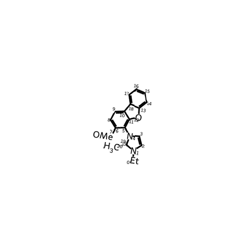 CCN1C=CN(c2c(OC)ccc3c2oc2ccccc23)[C@H]1C